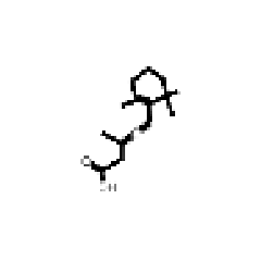 CC(=C=CC1=C(C)CCCC1(C)C)CC(=O)O